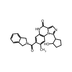 Cc1cc2c(cc1C(=O)N1Cc3ccccc3C1)[nH]c(=O)c1cnc(C3CCCC3O)n12